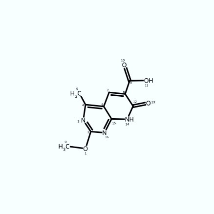 COc1nc(C)c2cc(C(=O)O)c(=O)[nH]c2n1